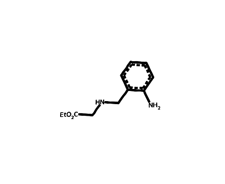 CCOC(=O)CNCc1ccccc1N